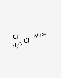 O.[Cl-].[Cl-].[Mn+2]